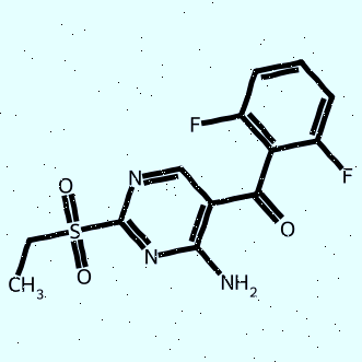 CCS(=O)(=O)c1ncc(C(=O)c2c(F)cccc2F)c(N)n1